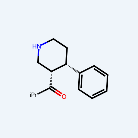 CC(C)C(=O)[C@@H]1CNCC[C@@H]1c1ccccc1